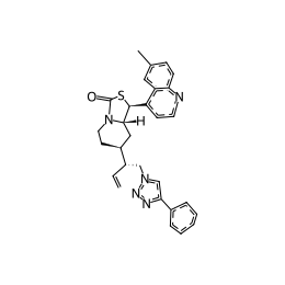 C=C[C@@H](Cn1cc(-c2ccccc2)nn1)[C@H]1CCN2C(=O)S[C@@H](c3ccnc4ccc(C)cc34)[C@@H]2C1